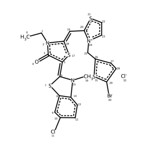 CCn1c(=O)/c(=C2\Sc3cc(Cl)ccc3N2C)s/c1=C\c1scc[n+]1Cc1ccc(Br)s1.[Cl-]